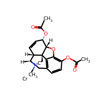 CC(=O)Oc1ccc2c3c1O[C@H]1[C@@H](OC(C)=O)C=C[C@H]4[C@@H](C2)N(C)CC[C@@]341.[Cr]